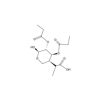 CCC(=O)O[C@@H]1[C@@H](OC(=O)CC)[C@@H](C(C)C(=O)O)CO[C@H]1O